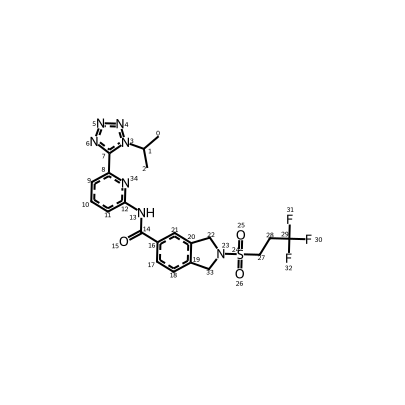 CC(C)n1nnnc1-c1cccc(NC(=O)c2ccc3c(c2)CN(S(=O)(=O)CCC(F)(F)F)C3)n1